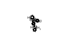 CC1CCCCC1NC(=O)c1ccc(CN([C@@H]2CCCCNC2=O)S(=O)(=O)c2ccc(Cl)cc2)cc1